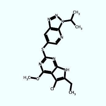 CCc1[nH]c2nc(Sc3cnc4c(c3)nnn4C(C)C)nc(OC)c2c1Cl